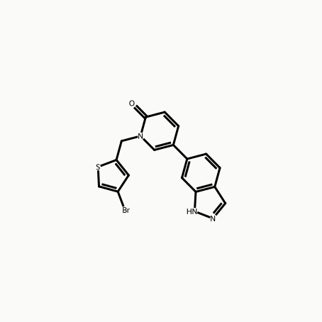 O=c1ccc(-c2ccc3cn[nH]c3c2)cn1Cc1cc(Br)cs1